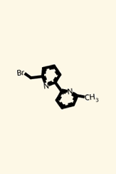 Cc1cccc(-c2cccc(CBr)n2)n1